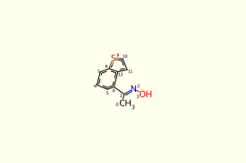 CC(=NO)c1cccc2sccc12